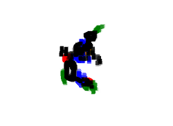 CC(C)(CNC(=O)c1cc(F)cc(-c2noc(C(F)(F)F)n2)c1)c1nc(-c2ccc(F)cc2)cs1